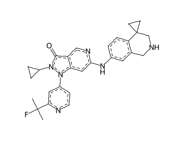 CC(C)(F)c1cc(-n2c3cc(Nc4ccc5c(c4)CNCC54CC4)ncc3c(=O)n2C2CC2)ccn1